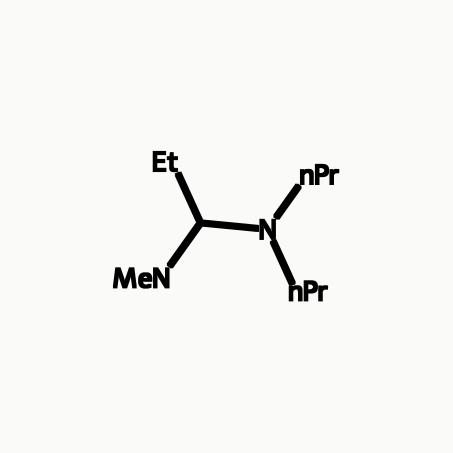 CCCN(CCC)C(CC)NC